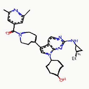 CC[C@@H]1CC1Nc1ncc2c(C3CCN(C(=O)c4cc(C)nc(C)c4)CC3)cn(C3CCC(O)CC3)c2n1